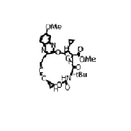 COC(=O)[C@@H]1[C@H](C2CC2)[C@@H]2CN1C(=O)[C@H](C(C)(C)C)NC(=O)O[C@@H]1CC1CCCCCc1nc3ccc(OC)cc3nc1O2